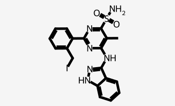 Cc1c(Nc2n[nH]c3ccccc23)nc(-c2ccccc2CI)nc1S(N)(=O)=O